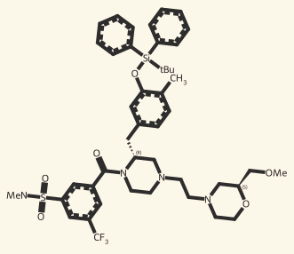 CNS(=O)(=O)c1cc(C(=O)N2CCN(CCN3CCO[C@H](COC)C3)C[C@H]2Cc2ccc(C)c(O[Si](c3ccccc3)(c3ccccc3)C(C)(C)C)c2)cc(C(F)(F)F)c1